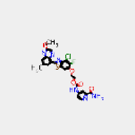 COc1cnc2c(-c3nc4c(Cl)c(F)c(OCCOC(=O)Nc5ccnc(C(N)=O)c5)cc4s3)cc(C)cc2n1